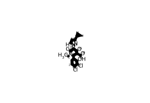 CCn1c(C)c(-n2ccc(C3CC3)n2)c(=O)c(C(=O)O)c1-c1ccc(Cl)c(Cl)c1